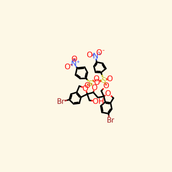 O=[N+]([O-])c1ccc(S(=O)(=O)OCC2(CC(OS(=O)(=O)c3ccc([N+](=O)[O-])cc3)C3(CO)OCc4cc(Br)ccc43)OCc3cc(Br)ccc32)cc1